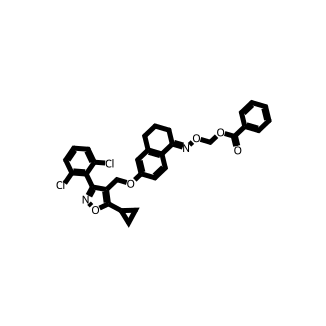 O=C(OCON=C1CCCc2cc(OCc3c(-c4c(Cl)cccc4Cl)noc3C3CC3)ccc21)c1ccccc1